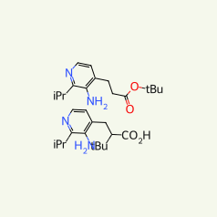 CC(C)c1nccc(CC(C(=O)O)C(C)(C)C)c1N.CC(C)c1nccc(CCC(=O)OC(C)(C)C)c1N